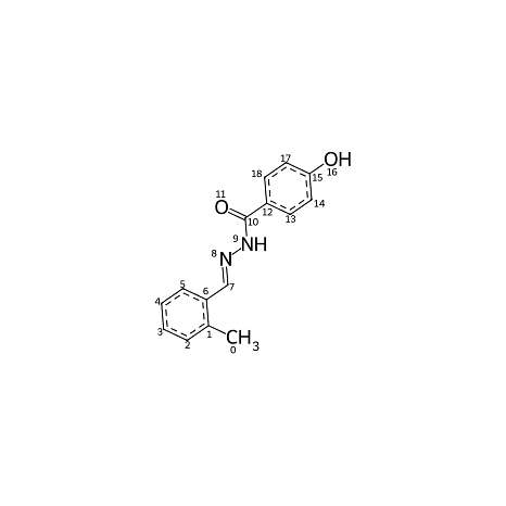 Cc1ccccc1C=NNC(=O)c1ccc(O)cc1